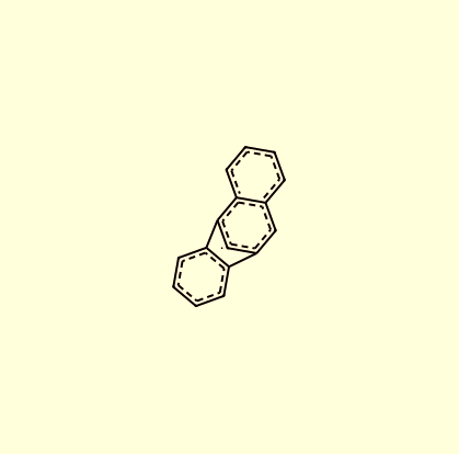 [c]1c2cc3ccccc3c1-c1ccccc1-2